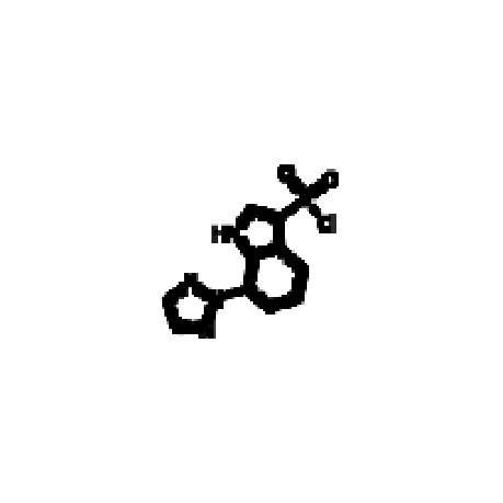 O=S(=O)(Cl)c1c[nH]c2c(-n3nccn3)cccc12